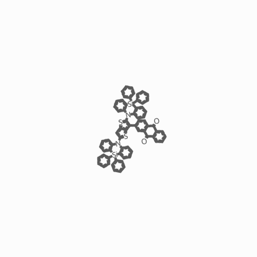 O=C1c2ccccc2C(=O)c2cc(-c3c(N4c5ccccc5[Si](c5ccccc5)(c5ccccc5)c5ccccc54)sc4cc(N5c6ccccc6[Si](c6ccccc6)(c6ccccc6)c6ccccc65)sc34)ccc21